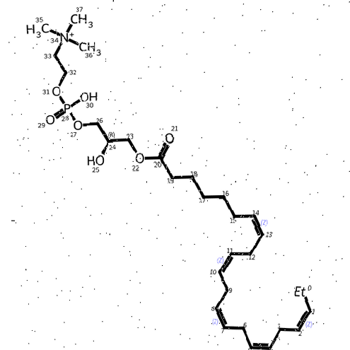 CC/C=C\C/C=C\C/C=C\C/C=C\C/C=C\CCCCCC(=O)OC[C@@H](O)COP(=O)(O)OCC[N+](C)(C)C